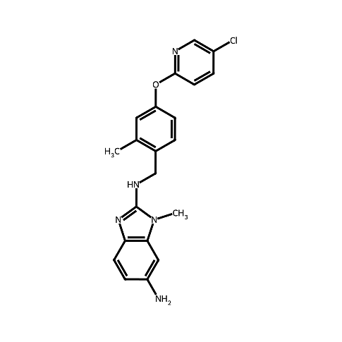 Cc1cc(Oc2ccc(Cl)cn2)ccc1CNc1nc2ccc(N)cc2n1C